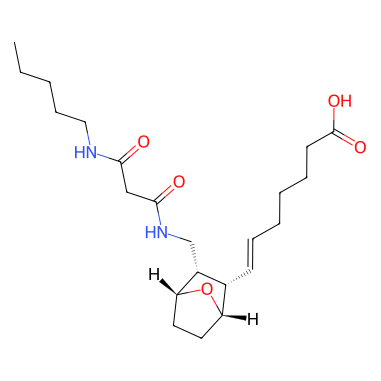 CCCCCNC(=O)CC(=O)NC[C@@H]1[C@H](/C=C/CCCCC(=O)O)[C@@H]2CC[C@H]1O2